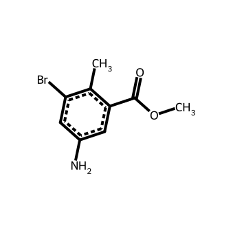 COC(=O)c1cc(N)cc(Br)c1C